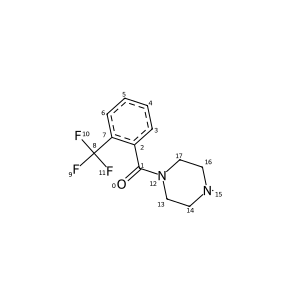 O=C(c1ccccc1C(F)(F)F)N1CC[N]CC1